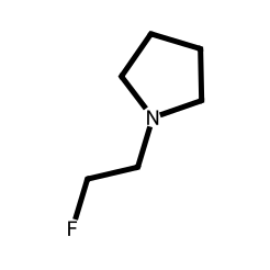 FCCN1CCCC1